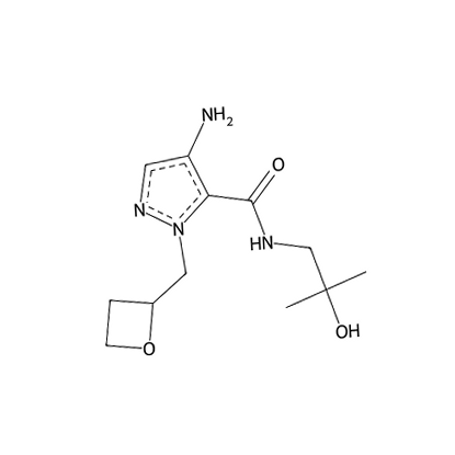 CC(C)(O)CNC(=O)c1c(N)cnn1CC1CCO1